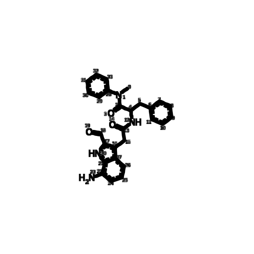 CN(C(=O)C(Cc1ccccc1)NC(=O)Cc1c(C=O)[nH]c2c(N)cccc12)c1ccccc1